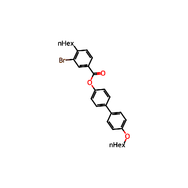 CCCCCCOc1ccc(-c2ccc(OC(=O)c3ccc(CCCCCC)c(Br)c3)cc2)cc1